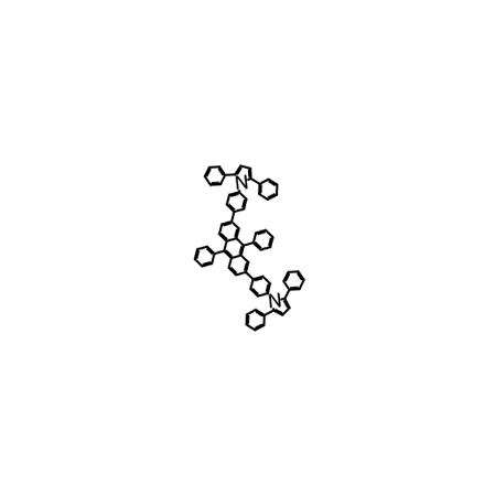 c1ccc(-c2c3ccc(-c4ccc(-n5c(-c6ccccc6)ccc5-c5ccccc5)cc4)cc3c(-c3ccccc3)c3cc(-c4ccc(-n5c(-c6ccccc6)ccc5-c5ccccc5)cc4)ccc23)cc1